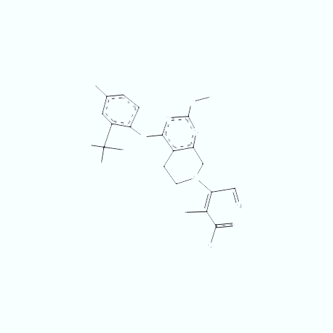 COc1nc2c(c(Sc3ccc(F)cc3C(F)(F)F)n1)CCN(/C(C=N)=C(\Cl)C(N)=O)C2